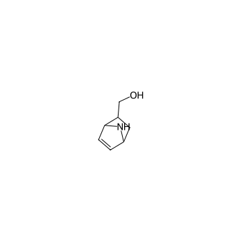 OCC1CC2C=CC1N2